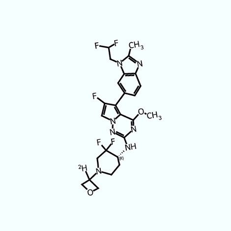 [2H]C1(N2CC[C@@H](Nc3nc(OC)c4c(-c5ccc6nc(C)n(CC(F)F)c6c5)c(F)cn4n3)C(F)(F)C2)COC1